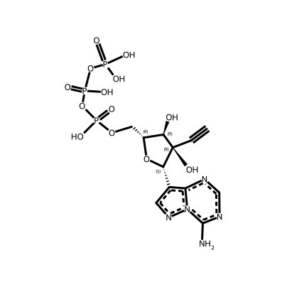 C#C[C@@]1(O)[C@H](O)[C@@H](COP(=O)(O)OP(=O)(O)OP(=O)(O)O)O[C@H]1c1cnn2c(N)ncnc12